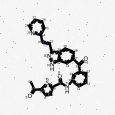 CC(=O)c1ccc(C(=O)Nc2cccc(C(=O)c3ccc4c(/C=C/c5ccccn5)n[nH]c4c3)c2)s1